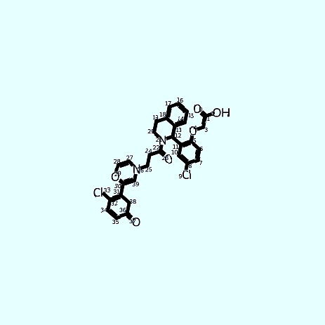 O=C(O)COc1ccc(Cl)cc1C1c2ccccc2CCN1C(=O)CCN1C=COC(C2=C(Cl)C=CC(=O)C2)=C1